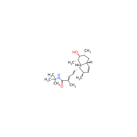 C/C(=C\C=C\[C@@H]1[C@@H]2[C@H](C)[C@@H](O)[C@H](C)C[C@@H]2C=C[C@H]1C)C(=O)NC(C)(C)C